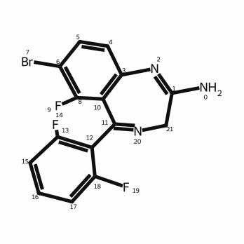 NC1=Nc2ccc(Br)c(F)c2C(c2c(F)cccc2F)=NC1